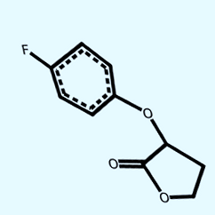 O=C1OCCC1Oc1ccc(F)cc1